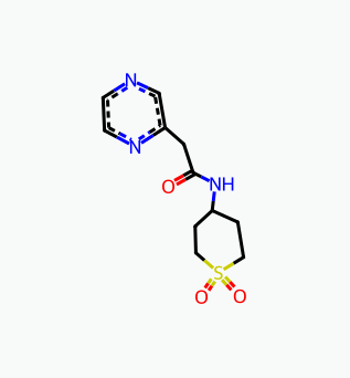 O=C(Cc1cnccn1)NC1CCS(=O)(=O)CC1